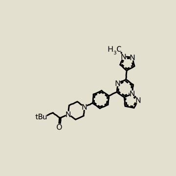 Cn1cc(-c2cn3nccc3c(-c3ccc(N4CCN(C(=O)CC(C)(C)C)CC4)cc3)n2)cn1